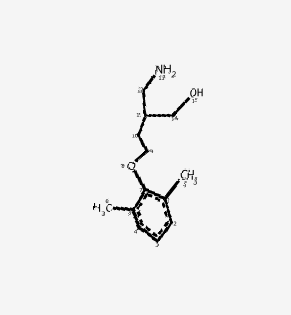 Cc1cccc(C)c1OCCC(CN)CO